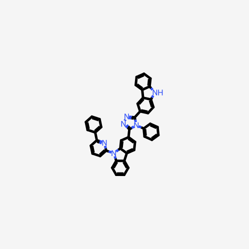 c1ccc(-c2cccc(-n3c4ccccc4c4ccc(-c5nnc(-c6ccc7[nH]c8ccccc8c7c6)n5-c5ccccc5)cc43)n2)cc1